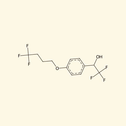 OC(c1ccc(OCCCC(F)(F)F)cc1)C(F)(F)F